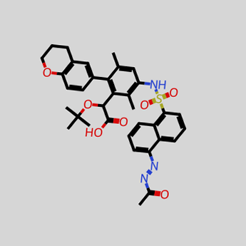 CC(=O)N=Nc1cccc2c(S(=O)(=O)Nc3cc(C)c(-c4ccc5c(c4)CCCO5)c(C(OC(C)(C)C)C(=O)O)c3C)cccc12